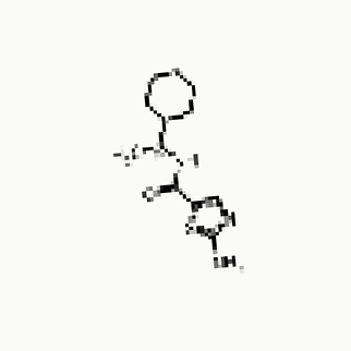 C[C@H](NC(=O)c1cnc(N)s1)C1CCCCC1